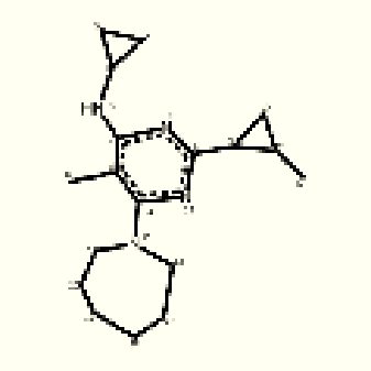 Cc1c(NC2CC2)nc(C2CC2C)nc1N1CCCCCC1